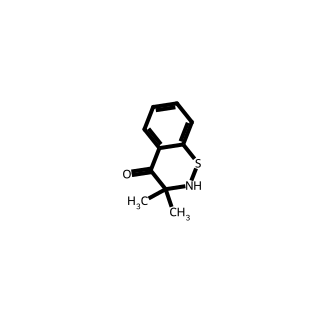 CC1(C)NSc2ccccc2C1=O